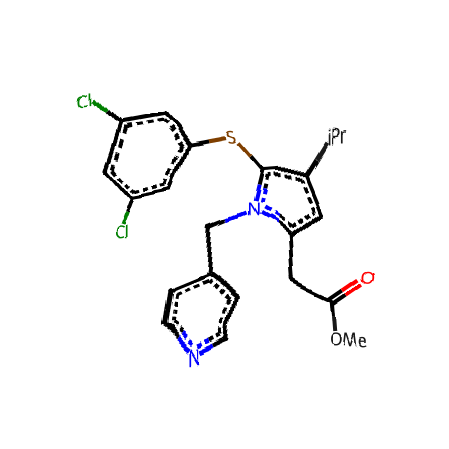 COC(=O)Cc1cc(C(C)C)c(Sc2cc(Cl)cc(Cl)c2)n1Cc1ccncc1